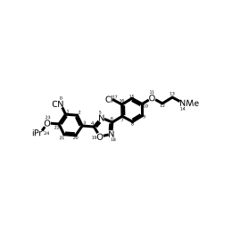 [C-]#[N+]c1cc(-c2nc(-c3ccc(OCCNC)cc3Cl)no2)ccc1OC(C)C